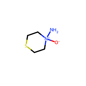 N[N+]1([O-])CCSCC1